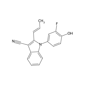 CC=Cc1c(C#N)c2ccccc2n1-c1ccc(O)c(F)c1